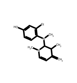 C=C1C=CN(C)C(N(C)c2ccc(O)cc2CC)C1C